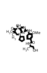 COc1cc(C(=O)N[C@@H](C)CO)ccc1Nc1ncc2c(n1)N(C1CCCC1)CC(C)(C)C(=O)N2C